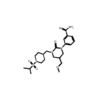 COCC1CN(CC2CCN(S(=O)(=O)C(C)C)CC2)C(=O)N(c2cccc(C(=N)N)c2)C1